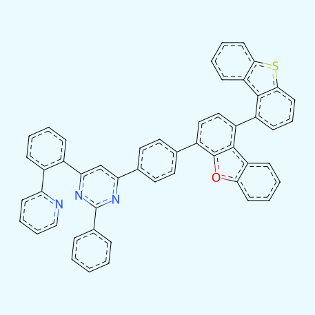 c1ccc(-c2nc(-c3ccc(-c4ccc(-c5cccc6sc7ccccc7c56)c5c4oc4ccccc45)cc3)cc(-c3ccccc3-c3ccccn3)n2)cc1